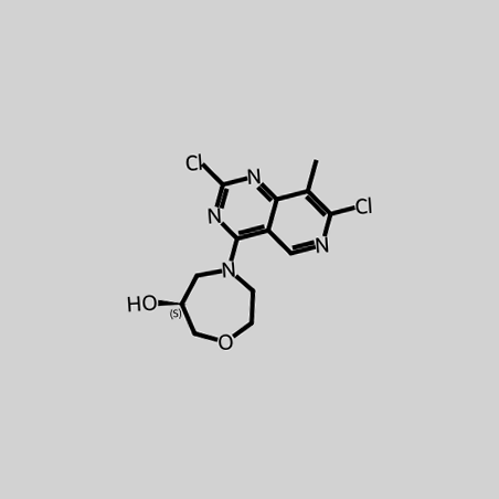 Cc1c(Cl)ncc2c(N3CCOC[C@@H](O)C3)nc(Cl)nc12